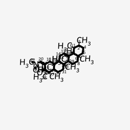 C[C@H]1[C@H](C)CC[C@]2(C)CC[C@]3(C)C(=CC[C@@H]4[C@@]5(C)C/C(=C/N(C)C)C(=O)C(C)(C)C5CC[C@]43C)[C@H]12